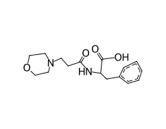 O=C(CCN1CCOCC1)NC(Cc1ccccc1)C(=O)O